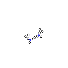 C1=Cc2c(c3ccccc3c3ccc(N(c4ccccc4)c4ccc(-c5ccc(-c6ccc(N(c7ccccc7)c7ccc8c9ccccc9c9ccccc9c8c7)cc6)cc5)cc4)cc23)CC1